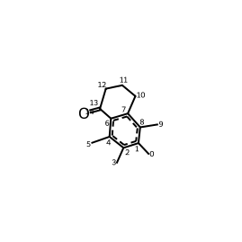 Cc1c(C)c(C)c2c(c1C)CCCC2=O